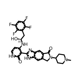 CN1CCC(N2Cc3cc4[nH]c(-c5c(N[C@@H](O)Cc6c(F)c(F)cc(F)c6F)cc[nH]c5=O)nc4cc3C2=O)CC1